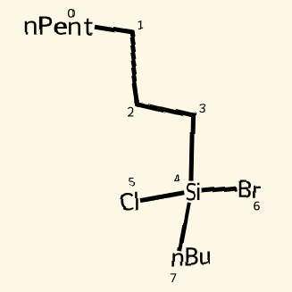 CCCCCCCC[Si](Cl)(Br)CCCC